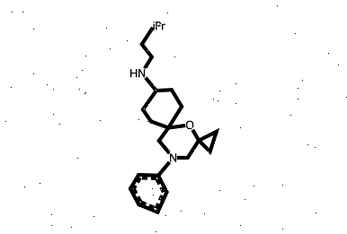 CC(C)CCNC1CCC2(CC1)CN(c1ccccc1)CC1(CC1)O2